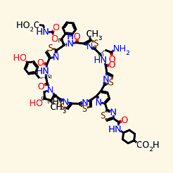 Cc1sc2nc1C(=O)N[C@@H]([C@H](OC(=O)NCC(=O)O)c1ccccc1)c1nc(cs1)C(=O)N[C@@H](Cc1ccc(O)cc1)C(=O)N1C[C@H](O)[C@H](C)[C@H]1c1nc(cs1)-c1nc(cs1)-c1nc(-c3nc(C(=O)NC4CCC(C(=O)O)CC4)cs3)ccc1-c1nc(cs1)C(=O)N[C@H]2CC(N)=O